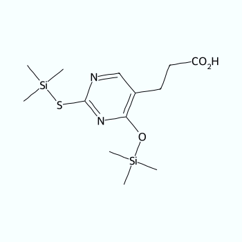 C[Si](C)(C)Oc1nc(S[Si](C)(C)C)ncc1CCC(=O)O